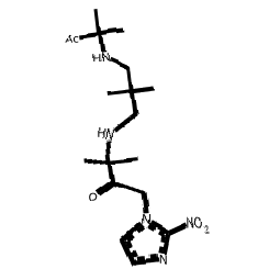 CC(=O)C(C)(C)NCC(C)(C)CNC(C)(C)C(=O)Cn1ccnc1[N+](=O)[O-]